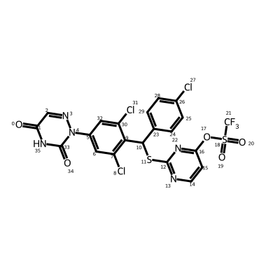 O=c1cnn(-c2cc(Cl)c(C(Sc3nccc(OS(=O)(=O)C(F)(F)F)n3)c3ccc(Cl)cc3)c(Cl)c2)c(=O)[nH]1